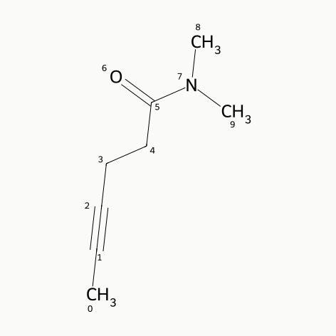 CC#CCCC(=O)N(C)C